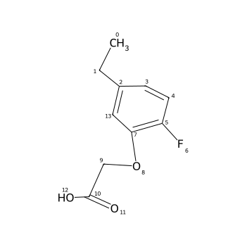 CCc1ccc(F)c(OCC(=O)O)c1